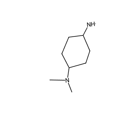 CN(C)C1CCC([NH])CC1